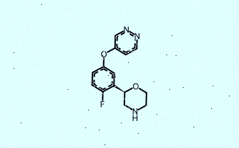 Fc1ccc(Oc2ccnnc2)cc1[C@@H]1CNCCO1